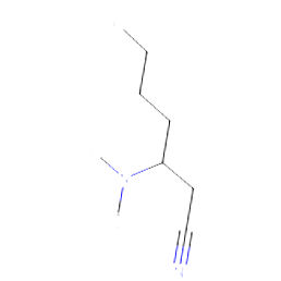 CCCCC(CC#N)N(C)C